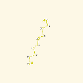 SSSSSSSSSS